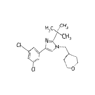 CC(C)(C)c1nc(-c2cc(Cl)cc(Cl)c2)cn1CC1CCOCC1